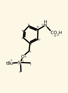 CC(C)(C)[Si](C)(C)OCc1cccc(NC(=O)O)c1